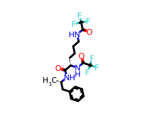 C[C@@H](Cc1ccccc1)NC(=O)[C@H](CCCCNC(=O)C(F)(F)F)NC(=O)C(F)(F)F